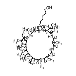 C=CC[C@@H](C)[C@@H](O)[C@H]1C(=O)N[C@@H](CC)C(=O)N(C)[C@@H](CSCCCCCO)C(=O)N(C)[C@@H](CC(C)(C)O)C(=O)NC(=O)N(C)C(=O)NC(=O)N[C@H](C)C(=O)N(C)C(=O)N(C)C(=O)N(C)[C@@H](C(C)C)C(=O)N1C